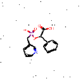 O=C(O)C(OP(=O)(O)Cc1cccnc1)c1ccccc1